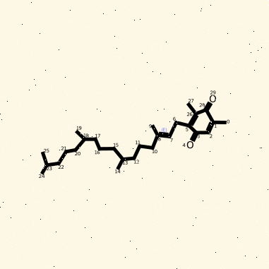 CC1=CC(=O)C(C/C=C(\C)CCCC(C)CCCC(C)CCCC(C)C)=C(C)C1=O